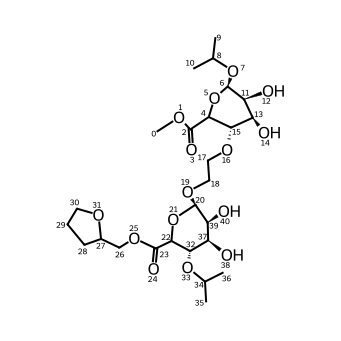 COC(=O)C1O[C@@H](OC(C)C)[C@@H](O)[C@@H](O)[C@@H]1OCCO[C@@H]1OC(C(=O)OCC2CCCO2)[C@@H](OC(C)C)[C@H](O)[C@@H]1O